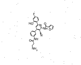 N#Cc1c(-c2cccc(NC(=O)CCN)c2)cc(-c2ccc(F)cc2O)nc1NC(=O)c1ccco1